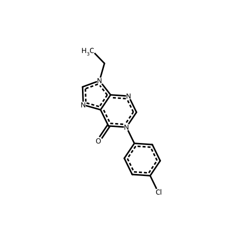 CCn1cnc2c(=O)n(-c3ccc(Cl)cc3)cnc21